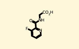 O=C(O)CNC(=O)c1ncccc1F